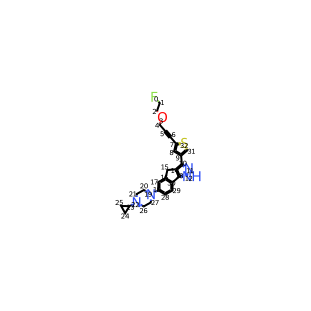 FCCOCC#Cc1cc(-c2n[nH]c3c2Cc2cc(N4CCN(C5CC5)CC4)ccc2-3)cs1